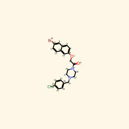 O=C(COc1ccc2cc(Br)ccc2c1)N1CCN(Cc2ccc(Cl)cc2)CC1